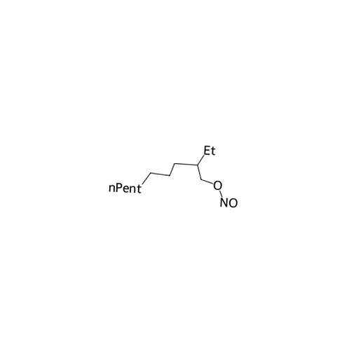 CCCCCCCCC(CC)CON=O